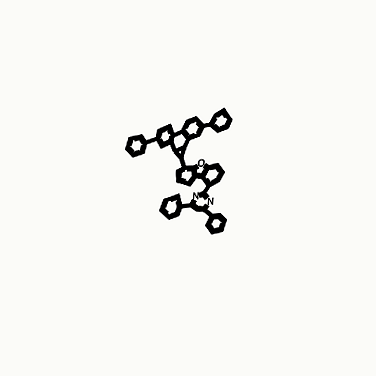 c1ccc(-c2ccc3c(c2)C2C(c4cc(-c5ccccc5)ccc4-3)C2c2cccc3c2oc2cccc(-c4nc(-c5ccccc5)cc(-c5ccccc5)n4)c23)cc1